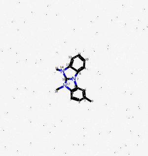 Cc1ccc2c(c1)N1c3ccccc3N(C)C1N2C